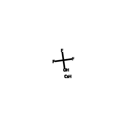 OC(F)(F)F.[CsH]